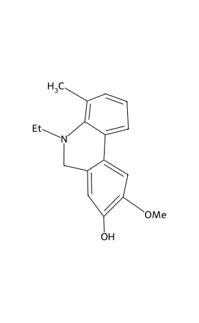 CCN1Cc2cc(O)c(OC)cc2-c2cccc(C)c21